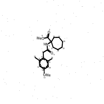 COC(=O)C1(NC(=O)Cc2c(C)cc(OC)cc2C)CCCCCC1